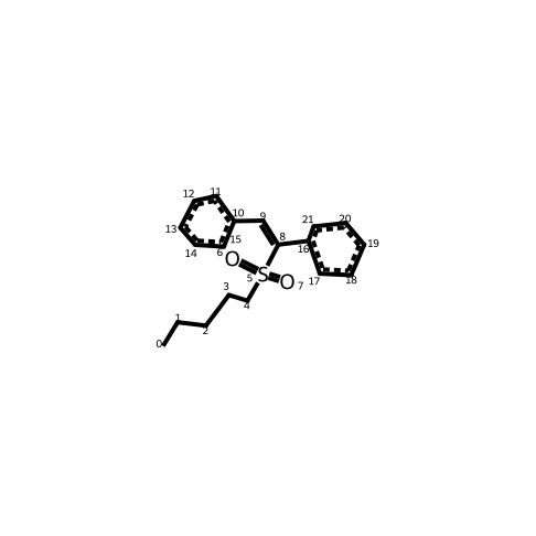 CCCCCS(=O)(=O)C(=Cc1ccccc1)c1ccccc1